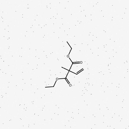 C=CC(C)(C(=O)OCC)C(=O)OCC